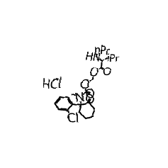 CCCN[C@H](C(=O)OCOC(=O)N(C)[C@]1(c2ccccc2Cl)CCCCC1=O)C(C)C.Cl